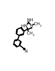 CN1CC(C)(c2cccc(-c3cccc(C#N)c3)c2)NC1=N